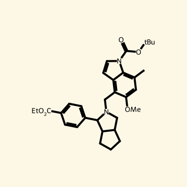 CCOC(=O)c1ccc(C2C3CCCC3CN2Cc2c(OC)cc(C)c3c2ccn3C(=O)OC(C)(C)C)cc1